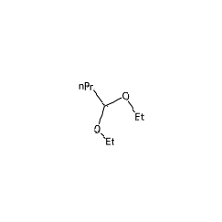 CCC[C](OCC)OCC